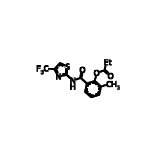 CCC(=O)Oc1c(C)cccc1C(=O)Nc1nc(C(F)(F)F)cs1